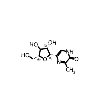 Cc1nc([C@@H]2O[C@H](CO)C(O)[C@@H]2O)c[nH]c1=O